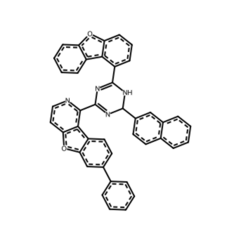 c1ccc(-c2ccc3c(c2)oc2ccnc(C4=NC(c5ccc6ccccc6c5)NC(c5cccc6oc7ccccc7c56)=N4)c23)cc1